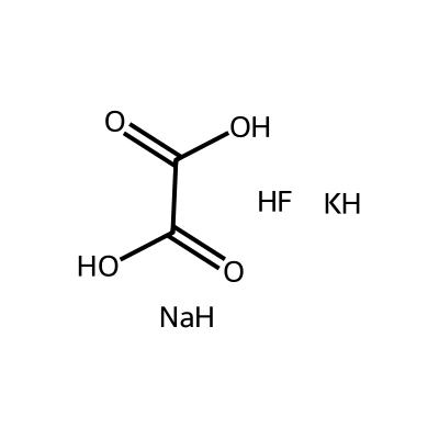 F.O=C(O)C(=O)O.[KH].[NaH]